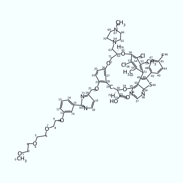 COCCOCCOCCOc1cccc(-c2nccc(COc3ccc4cc3C[C@H](C(=O)O)Oc3ncnc5sc(-c6ccc(F)cc6)c(c35)-c3c(C)c(Cl)c(c(Cl)c3C)O[C@H](CN3CCN(C)CC3)CO4)n2)c1